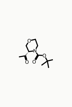 CC(=O)[C@@H]1COCCN1C(=O)OC(C)(C)C